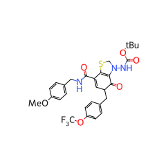 COc1ccc(CNC(=O)C2=CC(Cc3ccc(OC(F)(F)F)cc3)C(=O)C3=C2SCN3NC(=O)OC(C)(C)C)cc1